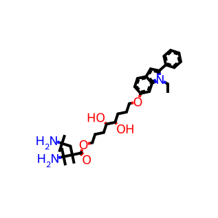 CCn1c(-c2ccccc2)cc2ccc(OCCCC(O)C(O)CCCOC(=O)C(C)(CC(C)(C)N)C(C)(C)N)cc21